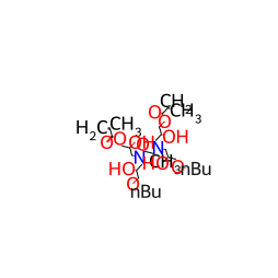 C=C(C)C(=O)OCC(O)CN(CC(O)COCCCC)C(=O)C(C)N(CC(O)COCCCC)CC(O)COC(=O)C(=C)C